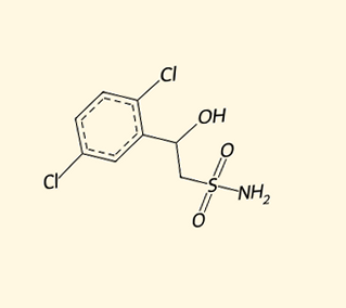 NS(=O)(=O)CC(O)c1cc(Cl)ccc1Cl